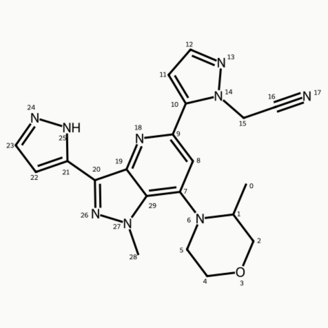 CC1COCCN1c1cc(-c2ccnn2CC#N)nc2c(-c3ccn[nH]3)nn(C)c12